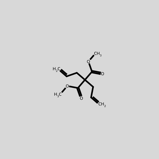 C=CCC(CC=C)(C(=O)OC)C(=O)OC